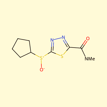 CNC(=O)c1nnc([S+]([O-])C2CCCC2)s1